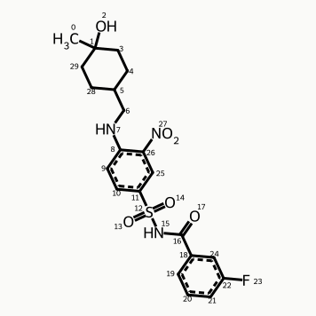 CC1(O)CCC(CNc2ccc(S(=O)(=O)NC(=O)c3cccc(F)c3)cc2[N+](=O)[O-])CC1